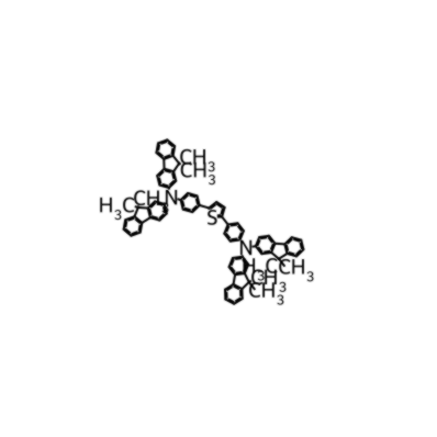 CC1(C)c2ccccc2-c2ccc(N(c3ccc(-c4ccc(-c5ccc(N(c6ccc7c(c6)C(C)(C)c6ccccc6-7)c6ccc7c(c6)C(C)(C)c6ccccc6-7)cc5)s4)cc3)c3ccc4c(c3)C(C)(C)c3ccccc3-4)cc21